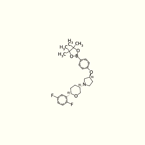 CC1(C)OB(c2ccc(O[C@H]3CCN([C@H]4CC[C@@H](c5cc(F)ccc5F)OC4)C3)cc2)OC1(C)C